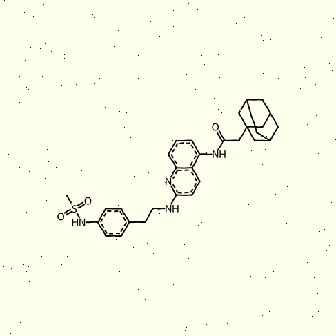 CS(=O)(=O)Nc1ccc(CCNc2ccc3c(NC(=O)CC45CC6CC(CC(C6)C4)C5)cccc3n2)cc1